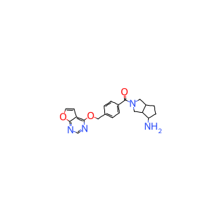 NC1CCC2CN(C(=O)c3ccc(COc4ncnc5occc45)cc3)CC12